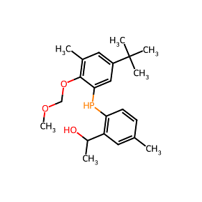 COCOc1c(C)cc(C(C)(C)C)cc1Pc1ccc(C)cc1C(C)O